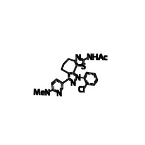 CNc1ccc(-c2nn(-c3ccccc3Cl)c3c2CCCc2nc(NC(C)=O)sc2-3)cn1